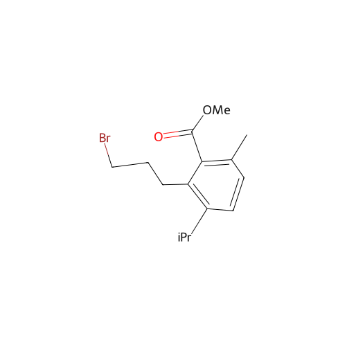 COC(=O)c1c(C)ccc(C(C)C)c1CCCBr